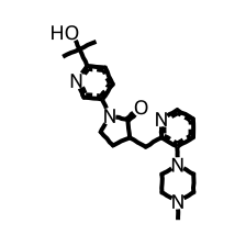 CN1CCN(c2cccnc2CC2CCN(c3ccc(C(C)(C)O)nc3)C2=O)CC1